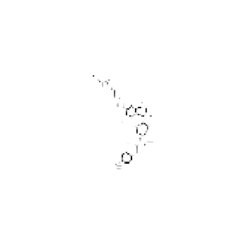 COc1cc2c(-c3ccc(NC(=O)Cc4ccc(C(F)(F)F)cc4)cc3)ncnc2cc1OCCCN1CC(N(C)C)C1